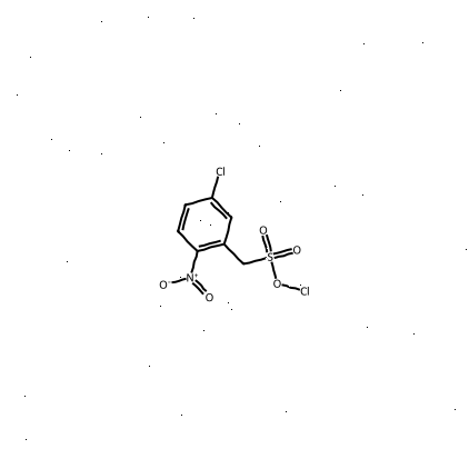 O=[N+]([O-])c1ccc(Cl)cc1CS(=O)(=O)OCl